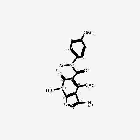 COc1ccc(N(C(C)=O)C(=O)c2c(OC(C)=O)c3c(C)csc3n(C)c2=O)cc1